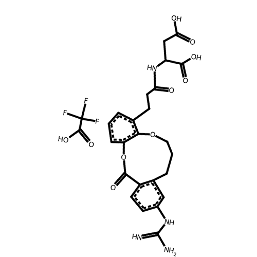 N=C(N)Nc1ccc2c(c1)CCCOc1c(CCC(=O)NC(CC(=O)O)C(=O)O)cccc1OC2=O.O=C(O)C(F)(F)F